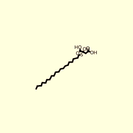 CCCCCCCCCCCCCCCCCCCCSC(O)(CC(=O)O)C(=O)O